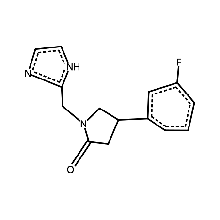 O=C1CC(c2cccc(F)c2)CN1Cc1ncc[nH]1